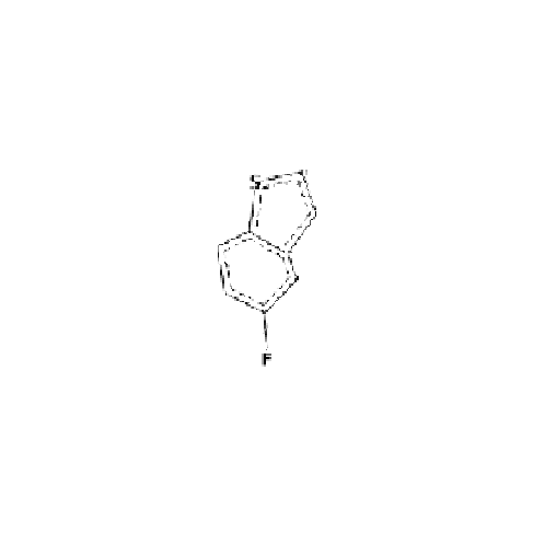 Fc1ccc2s[c]cc2c1